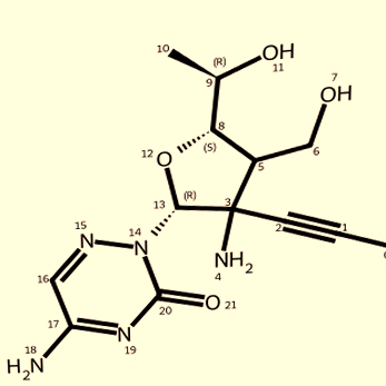 CC#CC1(N)C(CO)[C@@H]([C@@H](C)O)O[C@H]1n1ncc(N)nc1=O